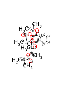 C=C(C)C(=O)OC(C)C(C)OC(=O)c1ccccc1C(=O)OC(C)C(C)OC(=O)C(=C)C